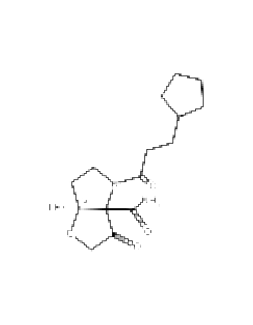 NC(=O)C12C(=O)CO[C@H]1CCN2C(=O)[CH]CC1CCCC1